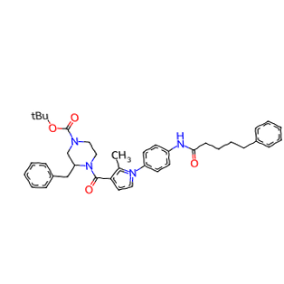 Cc1c(C(=O)N2CCN(C(=O)OC(C)(C)C)CC2Cc2ccccc2)ccn1-c1ccc(NC(=O)CCCCc2ccccc2)cc1